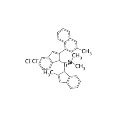 CC1=Cc2ccccc2[CH]1[Ti+2]([CH]1C(c2cc(C)cc3ccccc23)=Cc2ccccc21)=[Si](C)C.[Cl-].[Cl-]